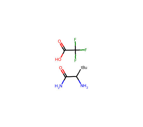 CC(C)(C)C(N)C(N)=O.O=C(O)C(F)(F)F